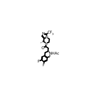 CC(=O)N[C@@H](CC(=O)N1CCn2c(cnc2C(F)(F)F)[C@H]1C)Cc1cc(F)c(F)cc1F